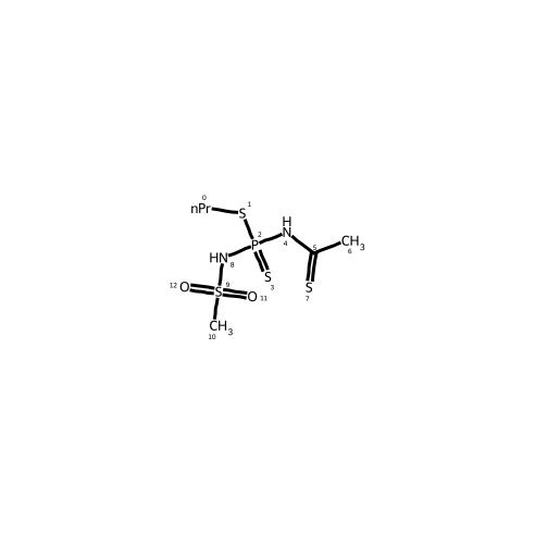 CCCSP(=S)(NC(C)=S)NS(C)(=O)=O